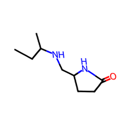 CCC(C)NCC1CCC(=O)N1